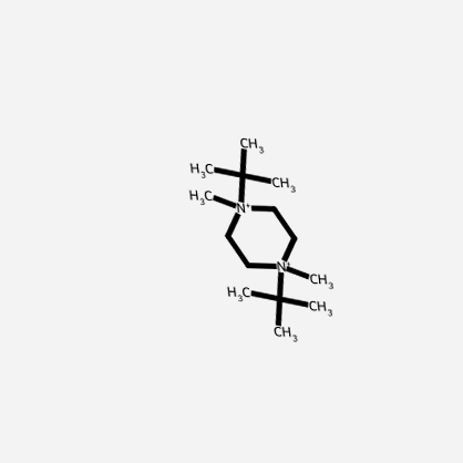 CC(C)(C)[N+]1(C)CC[N+](C)(C(C)(C)C)CC1